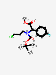 COC(=O)C(c1ccc(F)cc1)N(CCCCl)C(=O)OC(C)(C)C